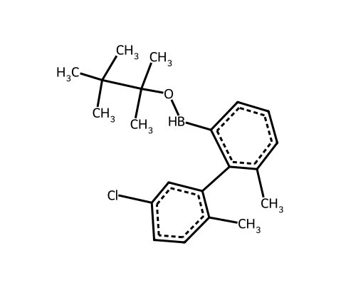 Cc1ccc(Cl)cc1-c1c(C)cccc1BOC(C)(C)C(C)(C)C